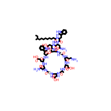 CCC(C)CCCCCCCCC(=O)NC(Cc1c[nH]c2ccccc12)C(=O)NC(CC(N)=O)C(=O)NC(CC(=O)O)C(=O)NC1C(=O)NCC(=O)NC(CCCN)C(=O)NC(CC(=O)O)C(=O)NC(C)C(=O)NC(CC(=O)O)C(=O)NCC(=O)NC(CC(N)=O)C(=O)NC(CCC(=O)O)C(=O)NC(Cc2c[nH]c3ccccc23)C(=O)OC1C